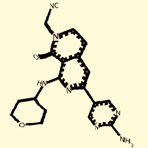 [C-]#[N+]Cn1ccc2cc(-c3cnc(N)nc3)nc(NC3CCOCC3)c2c1=O